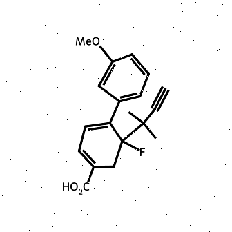 C#CC(C)(C)C1(F)CC(C(=O)O)=CC=C1c1cccc(OC)c1